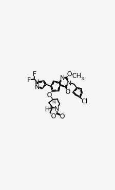 COc1nc2cc(-c3cnn(C(F)F)c3)c(O[C@H]3CCN4C(=O)OC[C@@H]4C3)cc2c(=O)n1Cc1ccc(Cl)cc1